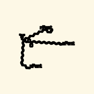 CCCCC/C=C\C/C=C\CCCCCCCCC(CCCCCCCC/C=C\C/C=C\CCCCC)(COC(=O)CCCCCCC/C=C/C/C=C/CCCCC)CN(C)C